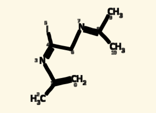 C=C(C)/N=C(/I)CN=C(C)C